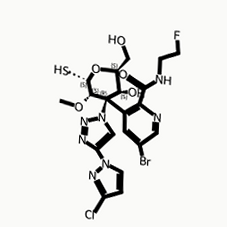 CO[C@@H]1[C@H](S)O[C@@H](CO)[C@@H](O)[C@@]1(c1cc(Br)cnc1C(=O)NCCF)n1cc(-n2ccc(Cl)n2)nn1